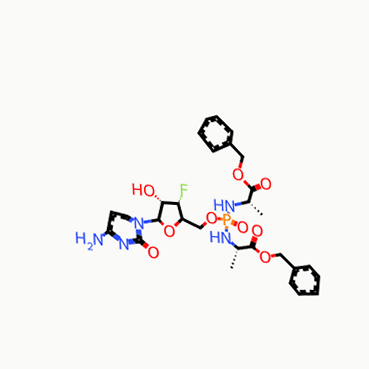 C[C@H](NP(=O)(N[C@@H](C)C(=O)OCc1ccccc1)OCC1OC(n2ccc(N)nc2=O)[C@H](O)[C@@H]1F)C(=O)OCc1ccccc1